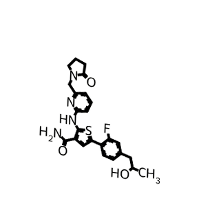 CC(O)Cc1ccc(-c2cc(C(N)=O)c(Nc3cccc(CN4CCCC4=O)n3)s2)c(F)c1